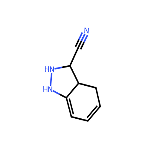 N#CC1NNC2=CC=CCC21